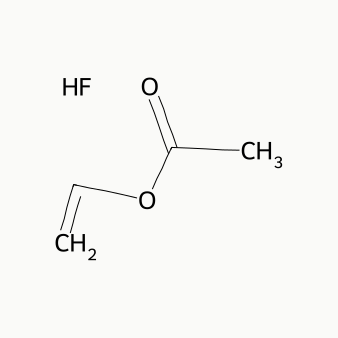 C=COC(C)=O.F